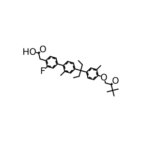 CCC(CC)(c1ccc(OCC(=O)C(C)(C)C)c(C)c1)c1ccc(-c2ccc(CC(=O)O)c(F)c2)c(C)c1